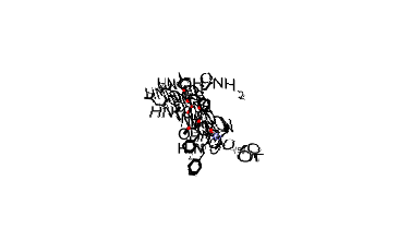 CC(C)C[C@H](NC(=O)CNC(=O)[C@H](Cc1ccccc1)N(C)C(=O)C(C)NC(=O)[C@@H](N)Cc1ccccc1)C(=O)N[C@@H](C)C(=O)N[C@H](C(=O)N[C@@](C)(Cc1ccccc1)C(=O)N[C@@H](CC(=O)O/N=C(\C#N)C(=O)OC[C@@H]1COC(C)(C)O1)C(=O)N(C)[C@@H](C)C(=O)N[C@@H](CO)C(=O)NCC(N)=O)C(C)C